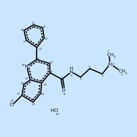 C[As](C)CCCNC(=O)c1cc(-c2ccccc2)nc2cc(Cl)ccc12.Cl